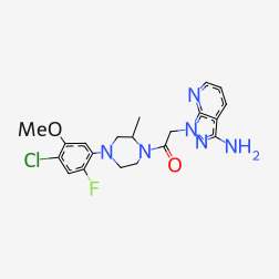 COc1cc(N2CCN(C(=O)Cn3nc(N)c4cccnc43)C(C)C2)c(F)cc1Cl